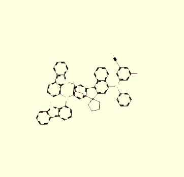 CCCCn1c2ccccc2c2cccc(N(c3ccc4c(c3)C3(CCCC3)c3cc(N(c5ccccc5)c5cc(C)cc(C#N)c5)c5ccccc5c3-4)c3cccc4c5ccccc5n(C)c34)c21